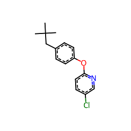 CC(C)(C)Cc1ccc(Oc2ccc(Cl)cn2)cc1